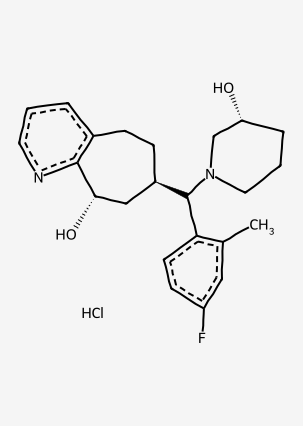 Cc1cc(F)ccc1C([C@@H]1CCc2cccnc2[C@@H](O)C1)N1CCC[C@@H](O)C1.Cl